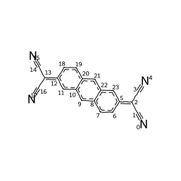 N#CC(C#N)=c1ccc2cc3cc(=C(C#N)C#N)ccc3cc2c1